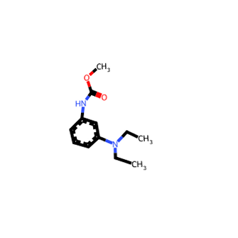 CCN(CC)c1cccc(NC(=O)OC)c1